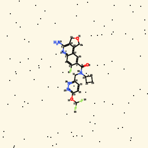 Nc1nc2cc(F)c(C(=O)N(Cc3ccc(OC(F)F)nn3)C3CCC3)cc2c2c1COC2